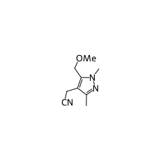 COCc1c(CC#N)c(C)nn1C